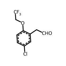 O=CCc1cc(Cl)ccc1OCC(F)(F)F